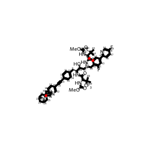 COC(=O)N[C@H](C(=O)N[C@@H](Cc1ccc(C#Cc2ccc(N3CC4CC(C3)N4C3COC3)nc2)cc1)[C@@H](O)CN(Cc1c(F)cc(-c2ccc(F)cn2)cc1F)NC(=O)[C@@H](NC(=O)OC)C(C)(C)C(F)(F)F)C(C)(C)C(F)(F)F